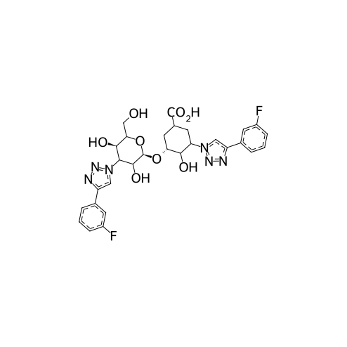 O=C(O)C1CC(n2cc(-c3cccc(F)c3)nn2)C(O)[C@H](O[C@@H]2OC(CO)[C@H](O)C(n3cc(-c4cccc(F)c4)nn3)C2O)C1